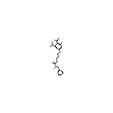 CC(=O)c1c(C)cc(OCCCCC(=O)N(C)Cc2ccccc2)cc1[N+](=O)[O-]